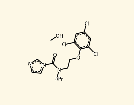 CCCN(CCOc1c(Cl)cc(Cl)cc1Cl)C(=O)n1ccnc1.CO